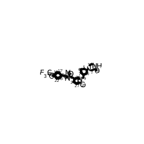 O=C1CN(c2cccc(Cn3cc(-c4nc(-c5ccc(OC(F)(F)F)cc5)no4)ccc3=O)c2)CCN1